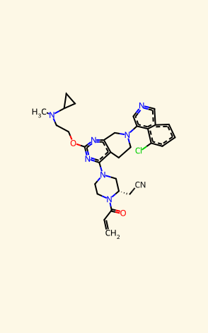 C=CC(=O)N1CCN(c2nc(OCCN(C)C3CC3)nc3c2CCN(c2cncc4cccc(Cl)c24)C3)C[C@@H]1CC#N